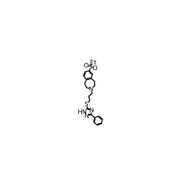 CCS(=O)(=O)c1ccc2c(c1)CCN(CCCSc1nc(-c3ccccc3)n[nH]1)CC2